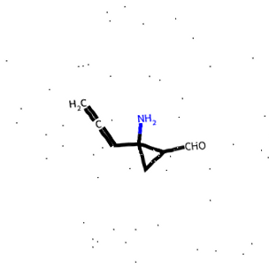 C=C=CC1(N)CC1C=O